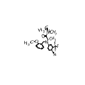 COc1ccccc1CN(c1ccc(C#N)c(C(F)(F)F)c1)[C@@H](C)C(=O)N(C)C